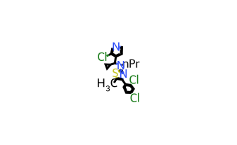 CCCN(c1nc(-c2ccc(Cl)cc2Cl)c(C)s1)C(c1ccncc1Cl)C1CC1